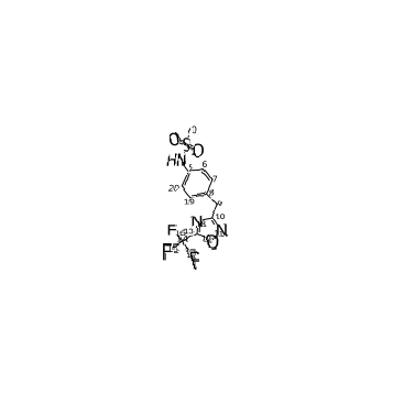 CS(=O)(=O)Nc1ccc(Cc2noc(C(F)(F)F)n2)cc1